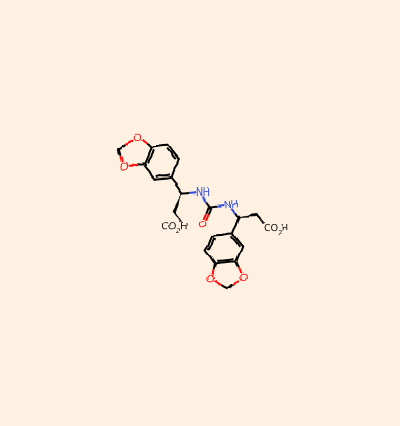 O=C(O)C[C@H](NC(=O)N[C@@H](CC(=O)O)c1ccc2c(c1)OCO2)c1ccc2c(c1)OCO2